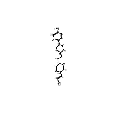 CCc1ccc(C2CCC(CC[C@H]3CC[C@H](/C=C/Cl)CC3)CC2)cc1